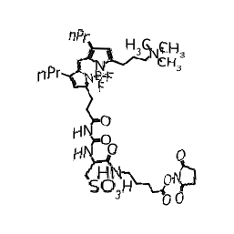 CCCC1=CC(CCC(=O)NC(=O)NC(CS(=O)(=O)O)C(=O)NCCCCC(=O)ON2C(=O)CCC2=O)=[N+]2C1=Cc1c(CCC)cc(CCC[N+](C)(C)C)n1[B-]2(F)F